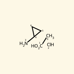 CC(=O)O.Cl.NC1CC1